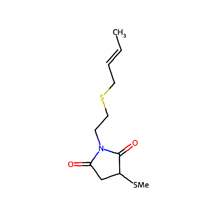 CC=CCSCCN1C(=O)CC(SC)C1=O